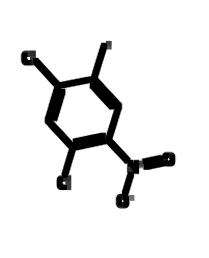 [CH]c1cc([N+](=O)[O-])c(Cl)cc1Cl